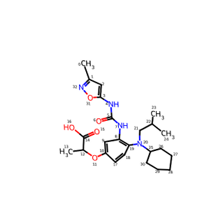 Cc1cc(NC(=O)Nc2cc(OC(C)C(=O)O)ccc2N(CC(C)C)C2CCCCC2)on1